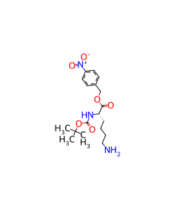 CC(C)(C)OC(=O)N[C@@H](CCCCN)C(=O)OCc1ccc([N+](=O)[O-])cc1